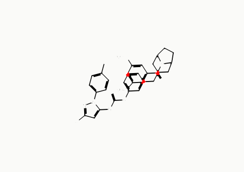 COc1cc(OC)cc(C(=O)N2C3CCC2CC(Cc2cccc(NC(=O)Nc4cc(C(C)(C)C)nn4-c4ccc(C)cc4)c2)C3)c1